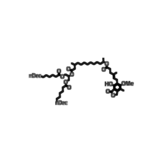 CCCCCCCCCCCCCCCC(=O)OCC(COC(=O)CCCCCCCCCCCCCCC)OC(=O)CC(C)CCCCCCCCC(C)OC(=O)CC/C(C)=C/Cc1c(O)c2c(c(C)c1OC)COC2=O